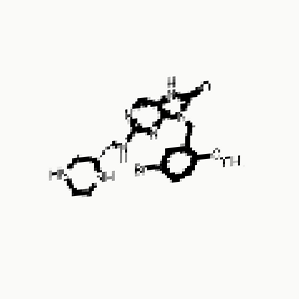 COc1ccc(Br)cc1Cn1c(=O)[nH]c2cnc(NC[C@H]3CNCCN3)nc21